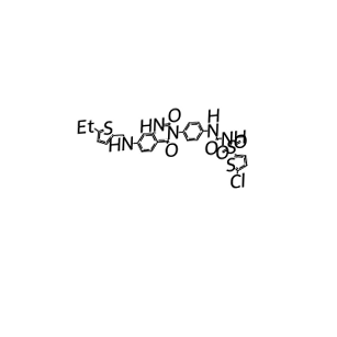 CCc1ccc(CNc2ccc3c(=O)n(-c4ccc(NC(=O)NS(=O)(=O)c5ccc(Cl)s5)cc4)c(=O)[nH]c3c2)s1